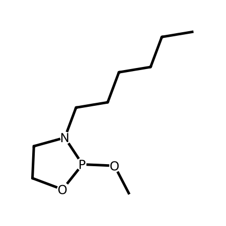 CCCCCCN1CCOP1OC